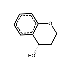 O[C@H]1CCOc2ccccc21